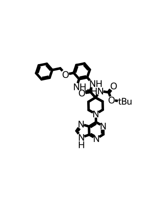 CC(C)(C)OC(=O)NC1(C(=O)Nc2cccc(OCc3ccccc3)c2N)CCN(c2ncnc3[nH]cnc23)CC1